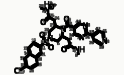 CNC(=O)CC1CN(S(=O)(=O)c2ccc3cc(Cl)ccc3c2)CC(CC(=O)[NH+](C)[O-])N1C(=O)c1cnc(-c2ccncc2)nc1